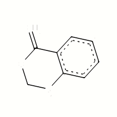 C=C1OCSc2ccccc21